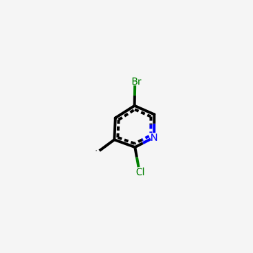 [CH2]c1cc(Br)cnc1Cl